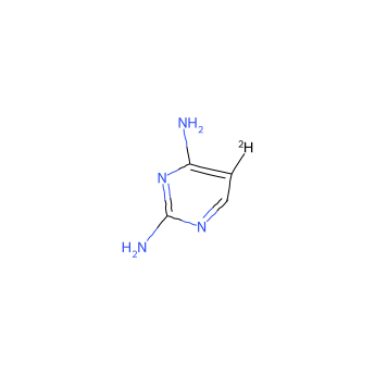 [2H]c1cnc(N)nc1N